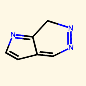 C1=CC2=CN=NCC2=N1